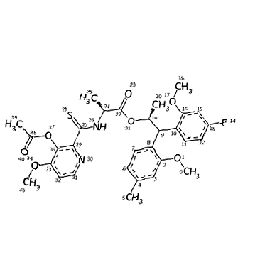 COc1cc(C)ccc1C(c1ccc(F)cc1OC)[C@H](C)OC(=O)[C@H](C)NC(=S)c1nccc(OC)c1OC(C)=O